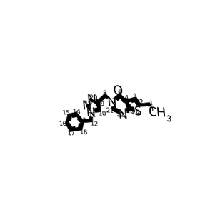 CCc1cc2c(=O)n(Cc3cn(Cc4ccccc4)nn3)cnc2s1